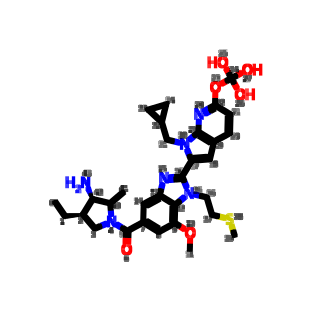 CC[C@@H]1CN(C(=O)c2cc(OC)c3c(c2)nc(-c2cc4ccc(OC(O)(O)O)nc4n2CC2CC2)n3CCSC)C(C)[C@@H]1N